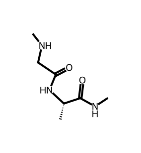 CNCC(=O)N[C@@H](C)C(=O)NC